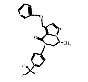 C[C@H]1CN(c2ccc(C(F)(F)F)cc2)C(=O)c2c(COc3cccnc3)cnn21